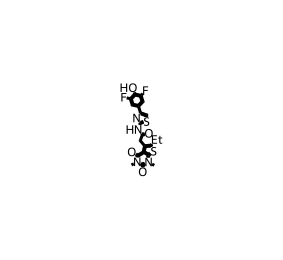 CCc1sc2c(c1CC(=O)Nc1nc(-c3cc(F)c(O)c(F)c3)cs1)c(=O)n(C)c(=O)n2C